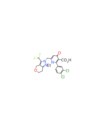 CCn1c(Cn2nc3c(c2C(F)F)COCC3)cc(=O)c(C(=O)O)c1-c1ccc(Cl)c(Cl)c1